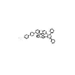 N#Cc1ccc(-c2ccc(-c3ccc4c(c3)C3(c5ccccc5S4)c4ccccc4-c4ccc(-c5nc(-c6ccccc6)cc(-c6ccccc6)n5)cc43)cc2)cc1